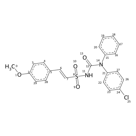 COc1ccc(/C=C/S(=O)(=O)NC(=O)N(c2ccccc2)c2ccc(Cl)cc2)cc1